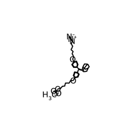 CS(=O)(=O)OCCCCCCOc1ccc(C(=C2C3CC4CC(C3)CC2C4)c2ccc(OCCCCCCN=[N+]=[N-])cc2)cc1